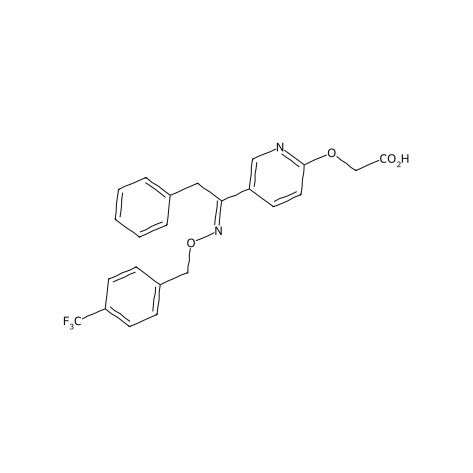 O=C(O)COc1ccc(C(Cc2ccccc2)=NOCc2ccc(C(F)(F)F)cc2)cn1